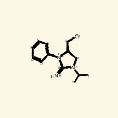 CC(C)N1CC(CCl)N(c2ccccc2)C1=N